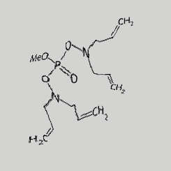 C=CCN(CC=C)OP(=O)(OC)ON(CC=C)CC=C